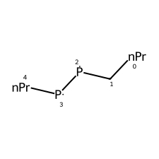 CCCC[P][P]CCC